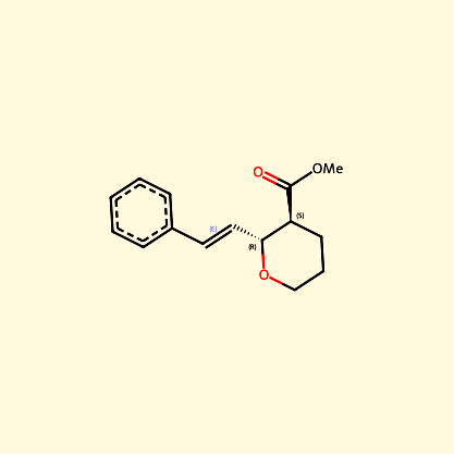 COC(=O)[C@H]1CCCO[C@@H]1/C=C/c1ccccc1